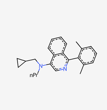 CCCN(CC1CC1)c1cnc(-c2c(C)cccc2C)c2ccccc12